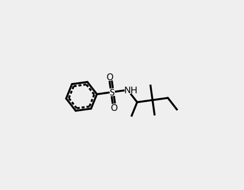 CCC(C)(C)C(C)NS(=O)(=O)c1ccccc1